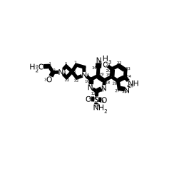 C=CC(=O)N1CC2(CCN(c3nc(S(N)(=O)=O)nc(-c4c(C)ccc5[nH]ncc45)c3C#N)C2)C1